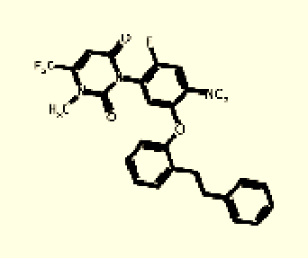 Cn1c(C(F)(F)F)cc(=O)n(-c2cc(Oc3ccccc3CCc3ccccc3)c([N+](=O)[O-])cc2F)c1=O